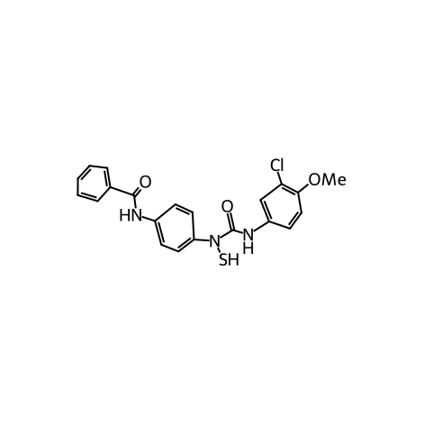 COc1ccc(NC(=O)N(S)c2ccc(NC(=O)c3ccccc3)cc2)cc1Cl